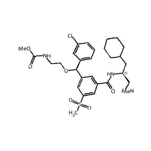 CNC[C@H](CC1CCCCC1)NC(=O)c1cc(C(OCCNC(=O)OC)c2cccc(Cl)c2)cc(S(C)(=O)=O)c1